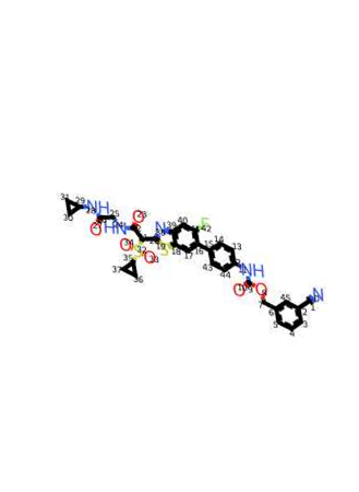 N#Cc1cccc(COC(=O)Nc2ccc(-c3cc4sc(C(C(=O)NCC(=O)NC5CC5)S(=O)(=O)C5CC5)nc4cc3F)cc2)c1